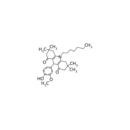 CCCCCCCN1C2=C(C(=O)CC(C)(C)C2)C(c2ccc(O)c(OC)c2)C2=C1CC(C)(C)CC2=O